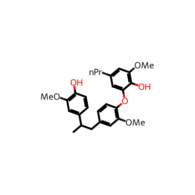 CCCc1cc(OC)c(O)c(Oc2ccc(CC(C)c3ccc(O)c(OC)c3)cc2OC)c1